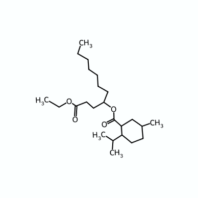 CCCCCCCC(CCC(=O)OCC)OC(=O)C1CC(C)CCC1C(C)C